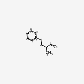 CC(C=O)CCc1ccccc1